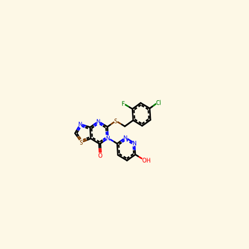 O=c1c2scnc2nc(SCc2ccc(Cl)cc2F)n1-c1ccc(O)nn1